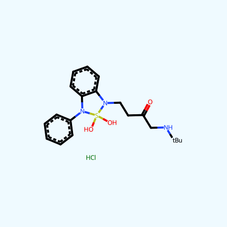 CC(C)(C)NCC(=O)CCN1c2ccccc2N(c2ccccc2)S1(O)O.Cl